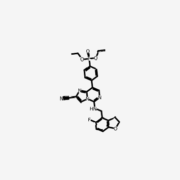 CCOP(=O)(OCC)c1ccc(-c2cnc(NCc3c(F)ccc4c3CCO4)n3cc(C#N)nc23)cc1